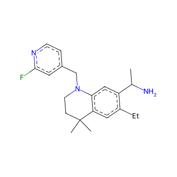 CCc1cc2c(cc1C(C)N)N(Cc1ccnc(F)c1)CCC2(C)C